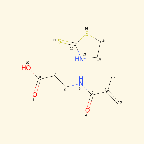 C=C(C)C(=O)NCCC(=O)O.S=C1NCCS1